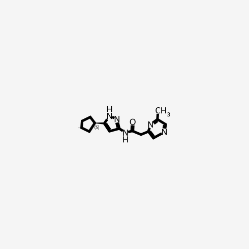 Cc1cncc(CC(=O)Nc2cc([C@H]3C[CH]CC3)[nH]n2)n1